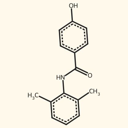 Cc1cccc(C)c1NC(=O)c1ccc(O)cc1